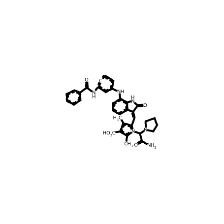 Cc1c(C(=O)O)c(C)n(C(C(N)=O)N2CCCC2)c1C=C1C(=O)Nc2c(Nc3cccc(NC(=O)c4ccccc4)c3)cccc21